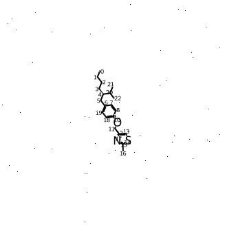 CCCC[C@H](Cc1ccc(OCc2csc(C)n2)cc1)C(C)C